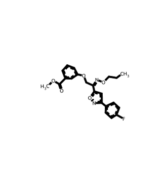 CCCON=C(COc1cccc(C(=O)OC)c1)c1cc(-c2ccc(F)cc2)no1